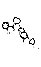 Cc1cn2nc([C@@H]3CCCCN3C(=O)c3ccccc3Cl)cc2nc1N1CC[C@H](N)C1